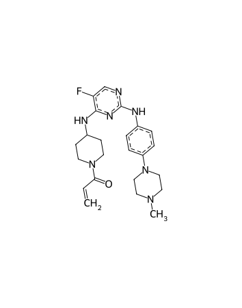 C=CC(=O)N1CCC(Nc2nc(Nc3ccc(N4CCN(C)CC4)cc3)ncc2F)CC1